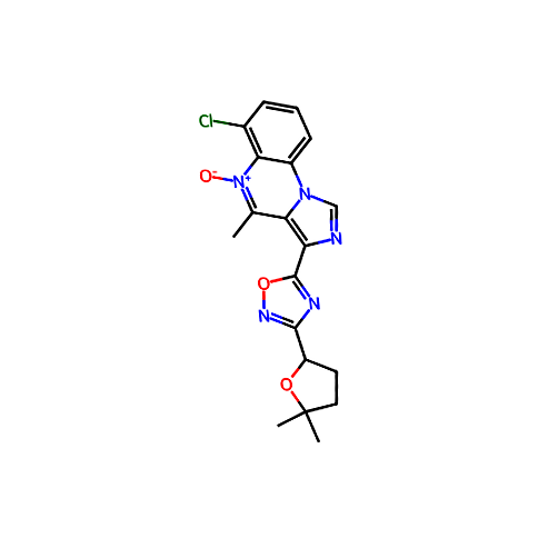 Cc1c2c(-c3nc(C4CCC(C)(C)O4)no3)ncn2c2cccc(Cl)c2[n+]1[O-]